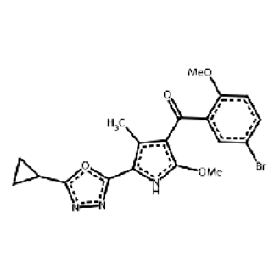 COc1ccc(Br)cc1C(=O)c1c(OC)[nH]c(-c2nnc(C3CC3)o2)c1C